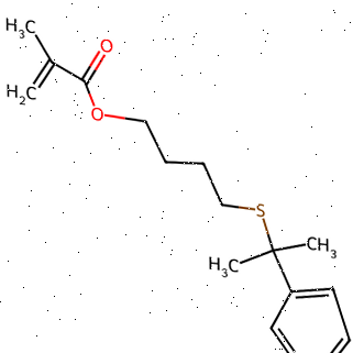 C=C(C)C(=O)OCCCCSC(C)(C)c1ccccc1